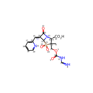 CC1(COC(=O)NC=N)[C@H](C(=O)O)N2C(=O)/C(=C/c3ccccn3)C2S1(=O)=O